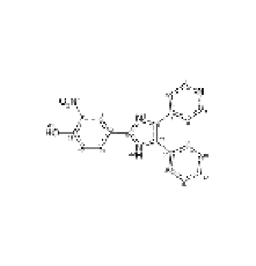 O=[N+]([O-])c1cc(-c2nc(-c3ccncc3)c(-c3ccccc3)[nH]2)ccc1O